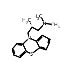 C[C@H](CN(C)C)CN1c2ccccc2Sc2ccccc21